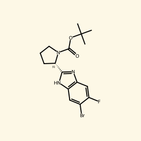 CC(C)(C)OC(=O)N1CCC[C@H]1c1nc2cc(F)c(Br)cc2[nH]1